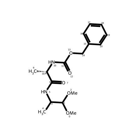 COC(OC)C(C)NC(=O)[C@H](C)NC(=O)OCc1ccccc1